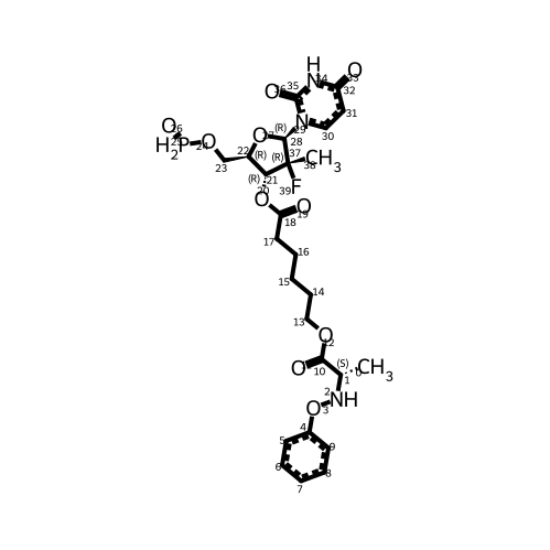 C[C@H](NOc1ccccc1)C(=O)OCCCCCC(=O)O[C@@H]1[C@@H](CO[PH2]=O)O[C@@H](n2ccc(=O)[nH]c2=O)[C@]1(C)F